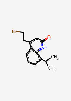 CC(C)c1cccc2c(CCBr)cc(=O)[nH]c12